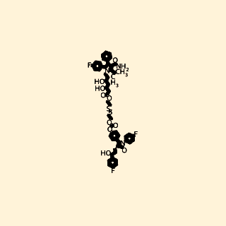 CC(C)C1=C(C(N)=O)C(c2ccccc2)C(c2ccc(F)cc2)N1CC[C@@H](O)C[C@@H](O)CC(=O)OCCSSCCOC(=O)Oc1ccc(C2[C@@H](CC[C@H](O)c3ccc(F)cc3)C(=O)N2c2ccc(F)cc2)cc1